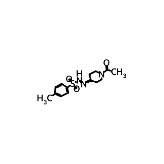 CC(=O)N1CCC(=NNS(=O)(=O)c2ccc(C)cc2)CC1